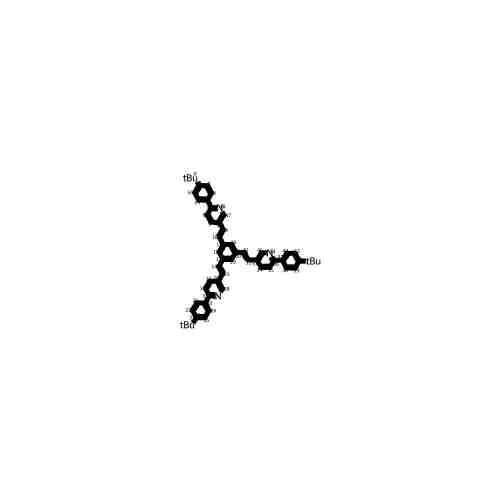 CC(C)(C)c1ccc(-c2ccc(/C=C/c3cc(/C=C/c4ccc(-c5ccc(C(C)(C)C)cc5)nc4)cc(/C=C/c4ccc(-c5ccc(C(C)(C)C)cc5)nc4)c3)cn2)cc1